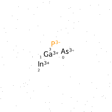 [As-3].[Ga+3].[In+3].[P-3]